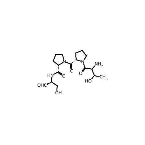 CC(O)[C@H](N)C(=O)N1CCC[C@H]1C(=O)N1CCC[C@H]1C(=O)N[C@H](C=O)CO